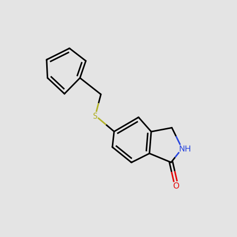 O=C1NCc2cc(SCc3ccccc3)ccc21